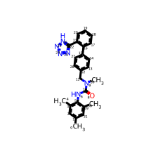 Cc1cc(C)c(NC(=O)N(C)Cc2ccc(-c3ccccc3-c3nnn[nH]3)cc2)c(C)c1